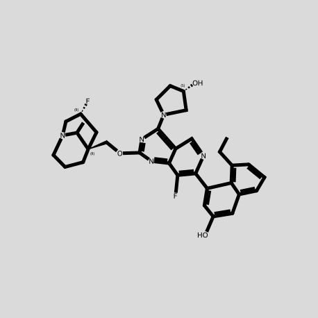 CCc1cccc2cc(O)cc(-c3ncc4c(N5CC[C@H](O)C5)nc(OC[C@]56CCCN(C[C@H](F)C5)C6C)nc4c3F)c12